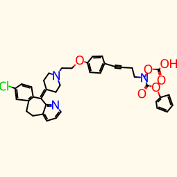 O=C(O)ON(CCC#Cc1ccc(OCCN2CCC(=C3c4ccc(Cl)cc4CCc4cccnc43)CC2)cc1)C(=O)Oc1ccccc1